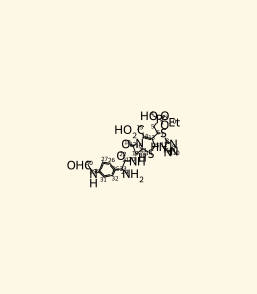 CCOP(=O)(O)CC(Sc1nnn[nH]1)C1=C(C(=O)O)N2C(=O)[C@@H](NC(=O)C(N)c3ccc(NC=O)cc3)[C@@H]2SC1